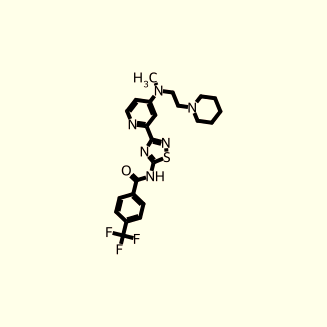 CN(CCN1CCCCC1)c1ccnc(-c2nsc(NC(=O)c3ccc(C(F)(F)F)cc3)n2)c1